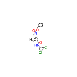 CC1(CCC(=O)Nc2cc(Cl)cc(Cl)c2)CCN(C(=O)OCc2ccccc2)CC1